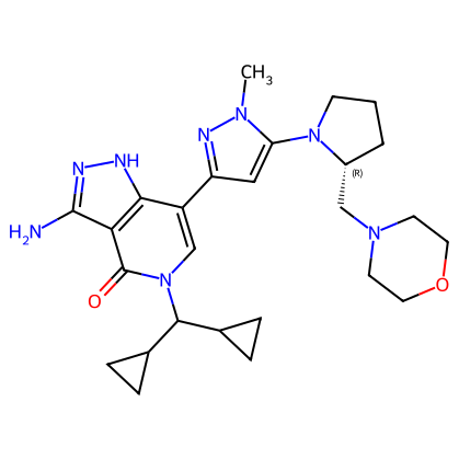 Cn1nc(-c2cn(C(C3CC3)C3CC3)c(=O)c3c(N)n[nH]c23)cc1N1CCC[C@@H]1CN1CCOCC1